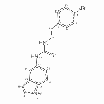 O=C(NCCc1ccc(Br)cc1)Nc1ccc2[nH]ccc2c1